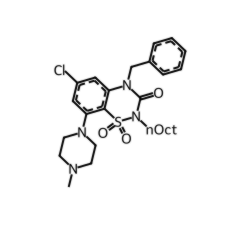 CCCCCCCCN1C(=O)N(Cc2ccccc2)c2cc(Cl)cc(N3CCN(C)CC3)c2S1(=O)=O